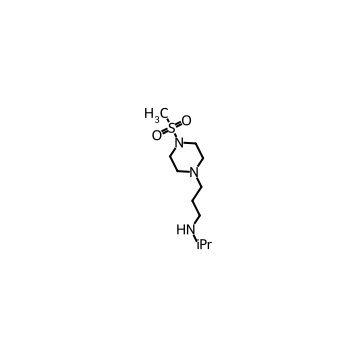 CC(C)NCCCN1CCN(S(C)(=O)=O)CC1